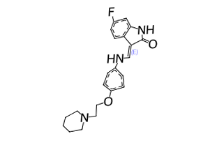 O=C1Nc2cc(F)ccc2/C1=C\Nc1ccc(OCCN2CCCCC2)cc1